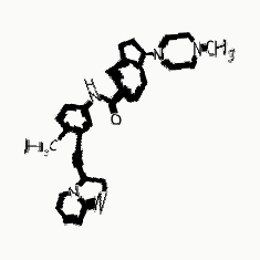 Cc1ccc(NC(=O)c2ccc3c(c2)CC[C@H]3N2CCN(C)CC2)cc1C#CC1CN=C2C=CC=CN21